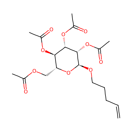 C=CCCCO[C@H]1O[C@H](COC(C)=O)[C@@H](OC(C)=O)[C@H](OC(C)=O)[C@@H]1OC(C)=O